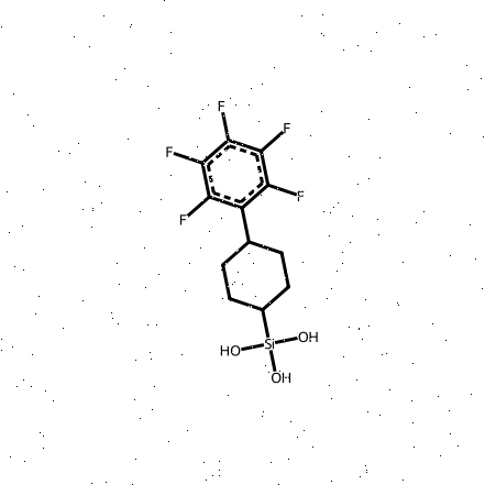 O[Si](O)(O)C1CCC(c2c(F)c(F)c(F)c(F)c2F)CC1